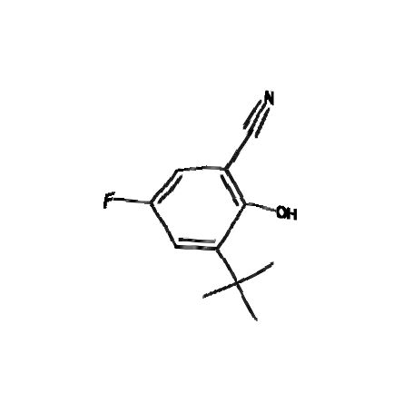 CC(C)(C)c1cc(F)cc(C#N)c1O